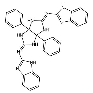 c1ccc(C23NC(=Nc4nc5ccccc5[nH]4)NC2(c2ccccc2)NC(=Nc2nc4ccccc4[nH]2)N3)cc1